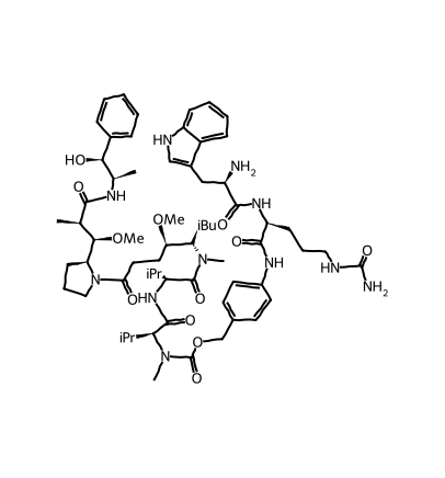 CC[C@H](C)[C@@H]([C@@H](CCC(=O)N1CCC[C@H]1[C@H](OC)[C@@H](C)C(=O)N[C@H](C)[C@@H](O)c1ccccc1)OC)N(C)C(=O)[C@@H](NC(=O)[C@H](C(C)C)N(C)C(=O)OCc1ccc(NC(=O)[C@H](CCCNC(N)=O)NC(=O)[C@H](N)Cc2c[nH]c3ccccc23)cc1)C(C)C